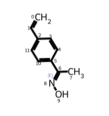 C=Cc1ccc(/C(C)=N/O)cc1